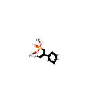 CCOP(=O)(CC(=CC(=O)O)c1ccccc1)OCC